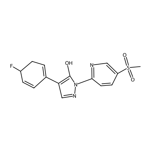 CS(=O)(=O)c1ccc(-n2ncc(C3=CCC(F)C=C3)c2O)nc1